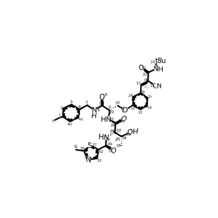 Cc1ccc(CNC(=O)[C@H](COc2cccc(/C=C(\C#N)C(=O)NC(C)(C)C)c2)NC(=O)[C@@H](NC(=O)c2cnc(C)s2)[C@@H](C)O)cc1